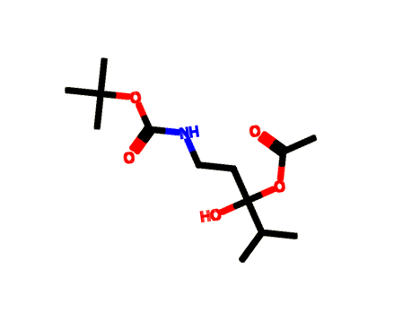 CC(=O)OC(O)(CCNC(=O)OC(C)(C)C)C(C)C